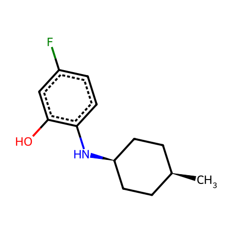 C[C@H]1CC[C@@H](Nc2ccc(F)cc2O)CC1